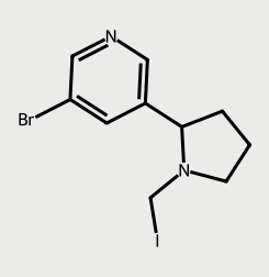 Brc1cncc(C2CCCN2CI)c1